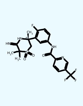 CC1(C)C(=N)N[C@](C)(c2cc(NC(=O)c3ccc(C(F)(F)F)cn3)ccc2F)CS1(=O)=O